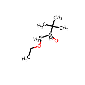 CCO[SiH2][SiH]([O])C(C)(C)C